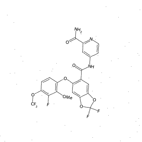 COc1c(Oc2cc3c(cc2C(=O)Nc2ccnc(C(N)=O)c2)OC(F)(F)O3)ccc(OC(F)(F)F)c1F